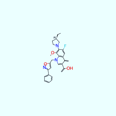 C=C(O)C1=CN(Cc2cc(-c3ccccc3)no2)c2c(cc(F)c(N3CC[C@@H](CC)C3)c2OC)C1=C